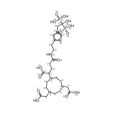 O=C(O)CN1CCN(CC(=O)O)CCN(C(CCC(=O)NCCc2cn(CC(O)(P(=O)(O)O)P(=O)(O)O)cn2)C(=O)O)CC1